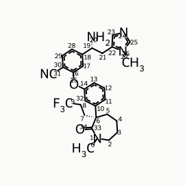 CN1CCCC[C@](CCC(F)(F)F)(c2cccc(Oc3cc([C@H](N)Cc4cncn4C)ccc3C#N)c2)C1=O